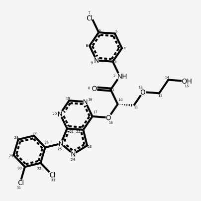 O=C(Nc1ccc(Cl)cn1)[C@H](COCCO)Oc1ncnc2c1cnn2-c1cccc(Cl)c1Cl